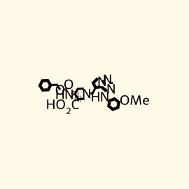 COc1cccc(Nc2ncnn3ccc(CN4CC[C@@H](NC(=O)OCc5ccccc5)[C@@H](C(=O)O)C4)c23)c1